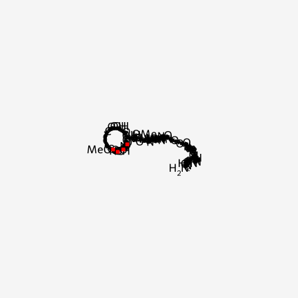 CO[C@H]1C[C@@H]2CC[C@@H](C)[C@@](O)(O2)C(=O)C(=O)N2CCCC[C@H]2C(=O)O[C@H]([C@H](N)C[C@@H]2CC[C@@H](OC(=O)NCc3cnc(N4CCN(c5ncc(C(=O)NCCOCCOCCC(=O)N6CCc7cc(Cn8nc(-c9ccc%10oc(N)nc%10c9)c9c(N)ncnc98)ccc7C6)cn5)CC4)nc3)[C@H](OC)C2)CC(=O)[C@H](C)/C=C(\C)[C@@H](O)[C@@H](O)C(=O)[C@H](C)C[C@H](C)/C=C/C=C/C=C/1C